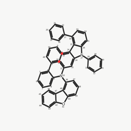 c1ccc(-c2ccccc2N(c2ccc3c4c(-c5ccccc5)cccc4n(-c4ccccc4)c3c2)c2cccc3oc4ccccc4c23)cc1